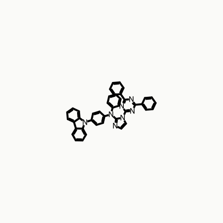 c1ccc(-c2nc(-c3ccccc3)nc(-n3ccnc3N(c3ccccc3)c3ccc(-n4c5ccccc5c5ccccc54)cc3)n2)cc1